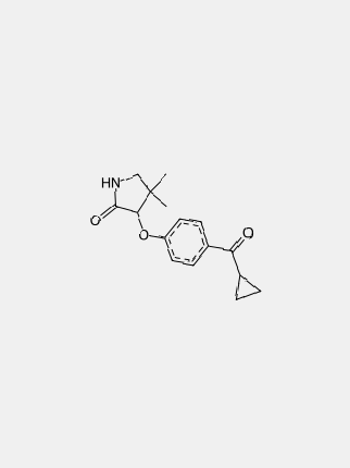 CC1(C)CNC(=O)C1Oc1ccc(C(=O)C2CC2)cc1